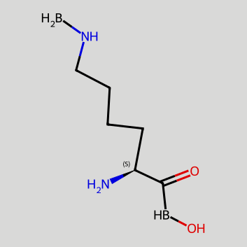 BNCCCC[C@H](N)C(=O)BO